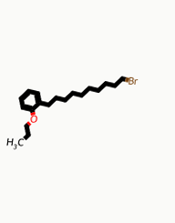 CCCOc1ccccc1CCCCCCCCCCBr